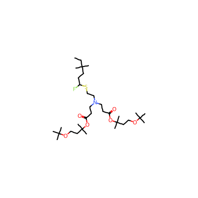 CCC(C)(C)CCC(F)SCCN(CCC(=O)OC(C)(C)CCOC(C)(C)C)CCC(=O)OC(C)(C)CCOC(C)(C)C